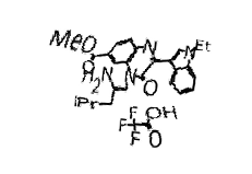 CCn1cc(-c2nc3ccc(C(=O)OC)cc3n(CC(N)CC(C)C)c2=O)c2ccccc21.O=C(O)C(F)(F)F